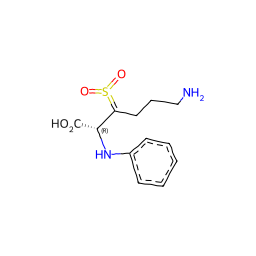 NCCCC([C@H](Nc1ccccc1)C(=O)O)=S(=O)=O